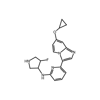 FC1CNCC1Nc1cccc(-c2cnc3cc(OC4CC4)ccn23)n1